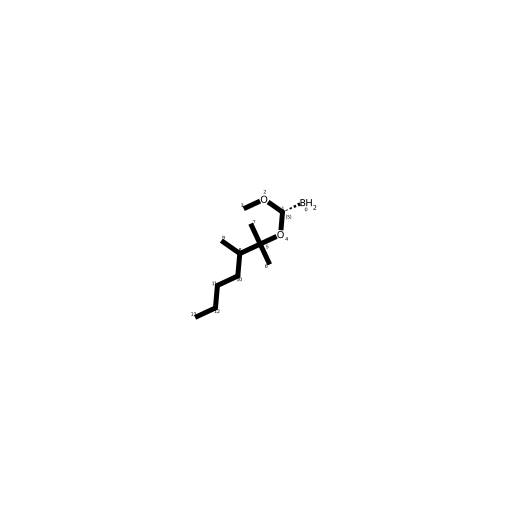 B[C@@H](OC)OC(C)(C)C(C)CCCC